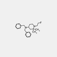 CC1(C)CC(N(Cc2ccccc2)Cc2ccccc2)CCN1CCF